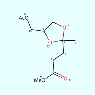 COC(=O)CCC1(C)OCC(COC(C)=O)O1